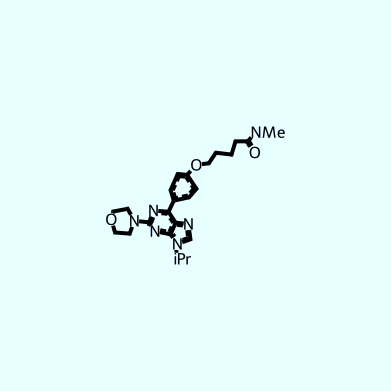 CNC(=O)CCCCOc1ccc(-c2nc(N3CCOCC3)nc3c2ncn3C(C)C)cc1